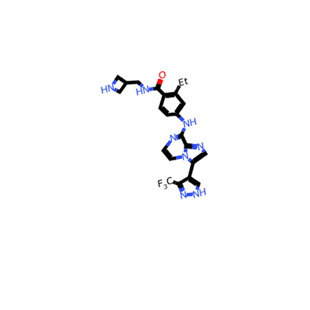 CCc1cc(Nc2nccn3c(-c4c[nH]nc4C(F)(F)F)cnc23)ccc1C(=O)NCC1CNC1